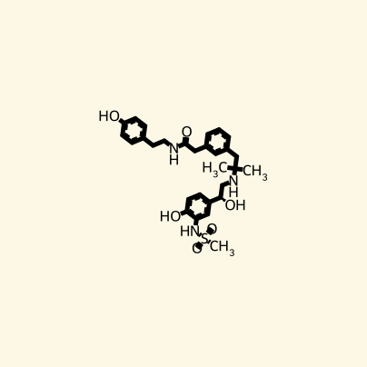 CC(C)(Cc1cccc(CC(=O)NCCc2ccc(O)cc2)c1)NC[C@@H](O)c1ccc(O)c(NS(C)(=O)=O)c1